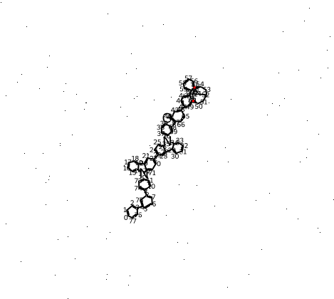 c1ccc(-c2cccc(-c3ccc(-n4c5ccccc5c5cc(-c6ccc7c(c6)c6ccccc6n7-c6ccc7oc8cc(-c9ccc%10c(c9)C9CC%11CC(c%12ccccc%12-%10)C%10C(C9)C%11%10)ccc8c7c6)ccc54)cc3)c2)cc1